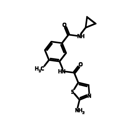 Cc1ccc(C(=O)NC2CC2)cc1NC(=O)c1cnc(N)s1